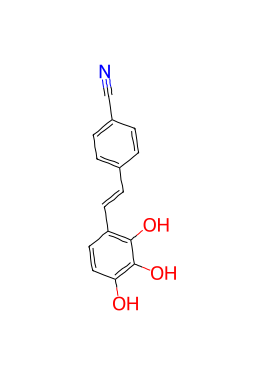 N#Cc1ccc(/C=C/c2ccc(O)c(O)c2O)cc1